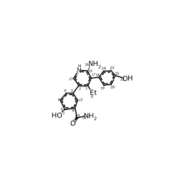 CCc1c(-c2ccc(O)c(C(N)=O)c2)cnc(N)c1-c1ccc(O)cc1